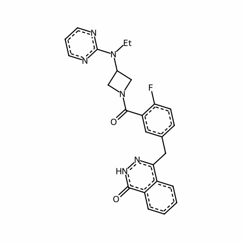 CCN(c1ncccn1)C1CN(C(=O)c2cc(Cc3n[nH]c(=O)c4ccccc34)ccc2F)C1